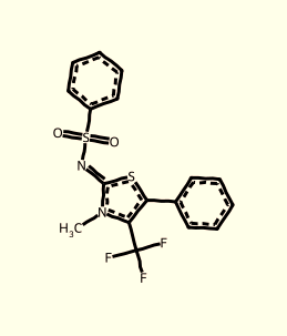 Cn1c(C(F)(F)F)c(-c2ccccc2)s/c1=N\S(=O)(=O)c1ccccc1